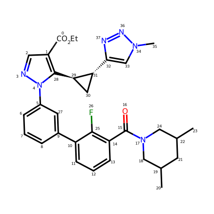 CCOC(=O)c1cnn(-c2cccc(-c3cccc(C(=O)N4CC(C)CC(C)C4)c3F)c2)c1[C@@H]1C[C@H]1c1cn(C)nn1